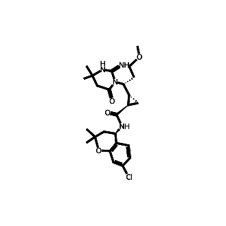 COCC[C@H]([C@@H]1C[C@H]1C(=O)N[C@@H]1CC(C)(C)Oc2cc(Cl)ccc21)N1C(=N)NC(C)(C)CC1=O